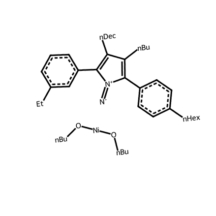 CCCCCCCCCCC1=C(c2cccc(CC)c2)[N+](=[N-])C(c2ccc(CCCCCC)cc2)=C1CCCC.CCCC[O][Ni][O]CCCC